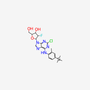 Cc1cc([Si](C)(C)C)ccc1Nc1nc(Cl)nc2c1ncn2C1OC(CO)C(O)C1F